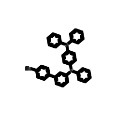 CCC(C)c1ccc(-c2cccc(N(c3ccccc3)c3ccc(N(c4ccccc4)c4ccccc4)cc3)c2)cc1